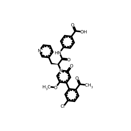 COc1cn([C@@H](Cc2cccnc2)C(=O)Nc2ccc(C(=O)O)cc2)c(=O)cc1-c1cc(Cl)ccc1C(C)=O